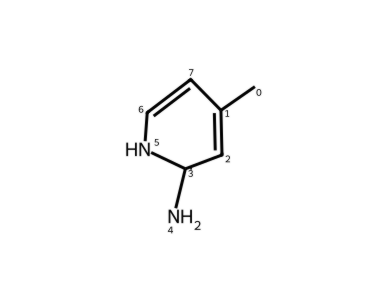 CC1=C[C](N)NC=C1